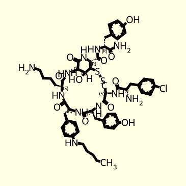 CCCCCNc1ccc(C[C@H]2NC(=O)[C@H](Cc3ccc(O)cc3)NC(=O)[C@H](NC(=O)[C@@H](N)Cc3ccc(Cl)cc3)CSSC3[C@@H](C(=O)N[C@H](Cc4ccc(O)cc4)C(N)=O)NC(=O)[C@@H](NC(=O)[C@H](CCCCN)NC2=O)[C@@H]3O)cc1